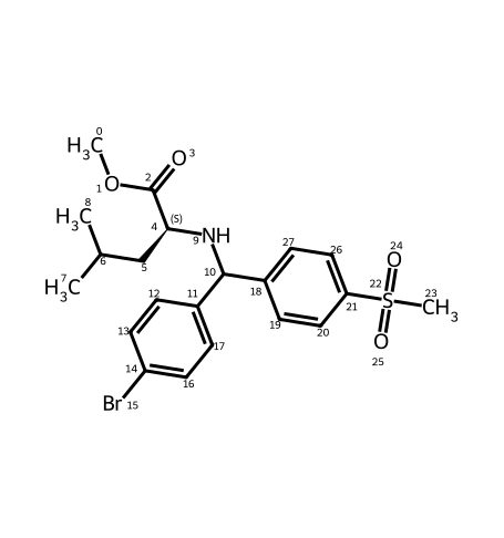 COC(=O)[C@H](CC(C)C)NC(c1ccc(Br)cc1)c1ccc(S(C)(=O)=O)cc1